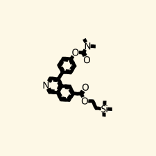 CN(C)C(=O)Oc1ccc(-c2cncc3ccc(C(=O)OCC[Si](C)(C)C)cc23)cc1